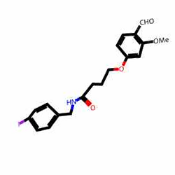 COc1cc(OCCCC(=O)NCc2ccc(I)cc2)ccc1C=O